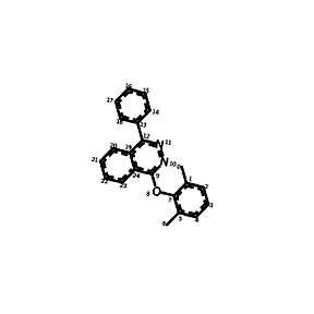 Cc1cccc(C)c1Oc1nnc(-c2ccccc2)c2ccccc12